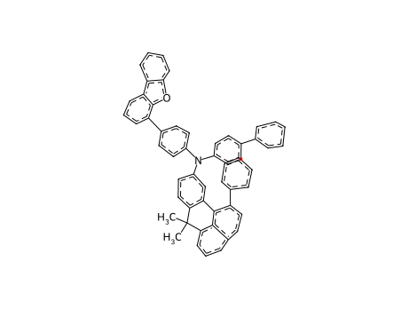 CC1(C)c2ccc(N(c3ccc(-c4ccccc4)cc3)c3ccc(-c4cccc5c4oc4ccccc45)cc3)cc2-c2c(-c3ccccc3)ccc3cccc1c23